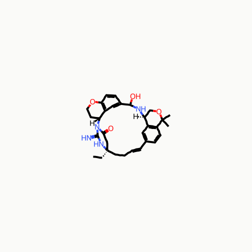 CC[C@]12CC/C=C/c3ccc4c(c3)[C@H](COC4(C)C)NC(O)c3ccc4c(c3)[C@@H](CCO4)N(C(=N)N1)C(=O)C2